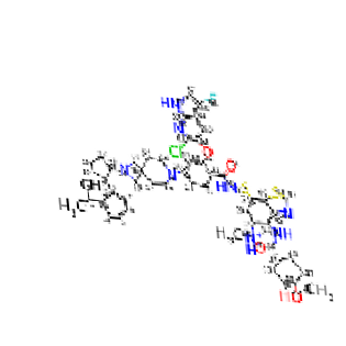 CC(C)c1ccccc1C1CCC[C@@H]1N1CC2(CCN(c3ccc(C(=O)NSc4cc([NH+](C)[O-])c(NC[C@H]5CC[C@](C)(O)CC5)c5ncsc45)c(Oc4cc5c(F)c[nH]c5nc4Cl)c3)CC2)C1